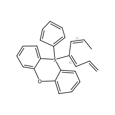 C=C/C=C(\C=C/C)S1(c2ccccc2)c2ccccc2Oc2ccccc21